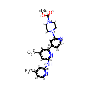 CC(C)(C)OC(=O)N1CCN(c2cc(-c3cc([N+](=O)[O-])cc(Nc4cc(C(F)(F)F)ccn4)n3)ccn2)CC1